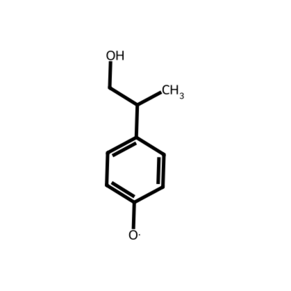 CC(CO)c1ccc([O])cc1